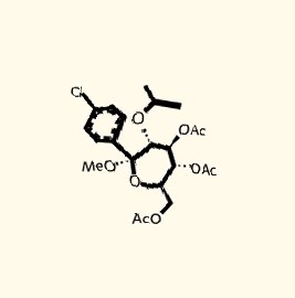 C=C(C)O[C@@H]1[C@@H](OC(C)=O)[C@H](OC(C)=O)[C@@H](COC(C)=O)O[C@@]1(OC)c1ccc(Cl)cc1